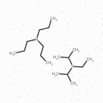 CCCN(CCC)CCC.CCN(C(C)C)C(C)C